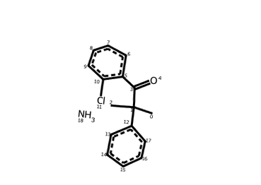 CC(C)(C(=O)c1ccccc1Cl)c1ccccc1.N